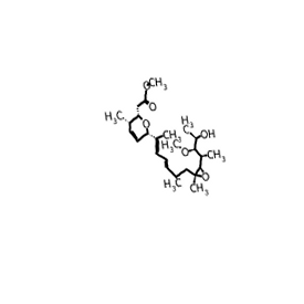 COC(=O)C[C@@H]1O[C@H](/C(C)=C/C=C/[C@@H](C)C[C@@]2(C)O[C@@H]2[C@H](C)[C@@H](OC)[C@@H](C)O)C=C[C@@H]1C